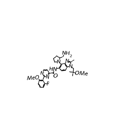 COc1cccc(F)c1-c1nccc(C(=O)Nc2ccc3c(nc(C)n3CC(C)(C)OC)c2N2CCCC2CN)n1